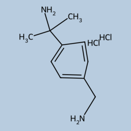 CC(C)(N)c1ccc(CN)cc1.Cl.Cl